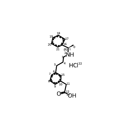 C[C@@H](NCCCc1cccc(CC(=O)O)c1)c1ccccc1.Cl